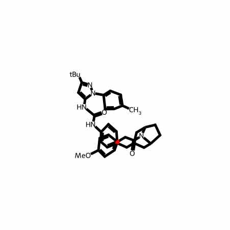 COc1ccc(CC(=O)N2C3CCC2CC(Cc2ccc(NC(=O)Nc4cc(C(C)(C)C)nn4-c4ccc(C)cc4)cc2)C3)cc1